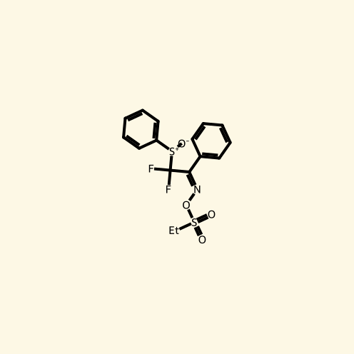 CCS(=O)(=O)ON=C(c1ccccc1)C(F)(F)[S+]([O-])c1ccccc1